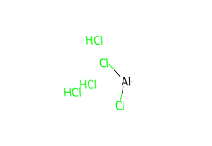 Cl.Cl.Cl.[Cl][Al][Cl]